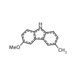 COc1ccc2[nH]c3ccc(C)cc3c2c1